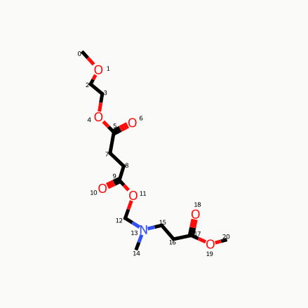 COCCOC(=O)CCC(=O)OCN(C)CCC(=O)OC